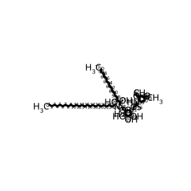 CCCCCCCCCCCCCCCCCCCCCCCCCCN[C@@H](CO[C@H]1O[C@H](COC(=S)Nc2ccc(OC)cc2OC)[C@H](O)[C@H](O)[C@H]1O)[C@H](O)[C@H](O)CCCCCCCCCCCCCC